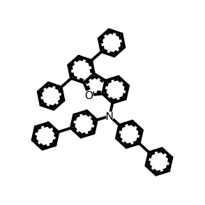 c1ccc(-c2ccc(N(c3ccc(-c4ccccc4)cc3)c3cccc4c3oc3c(-c5ccccc5)ccc(-c5ccccc5)c34)cc2)cc1